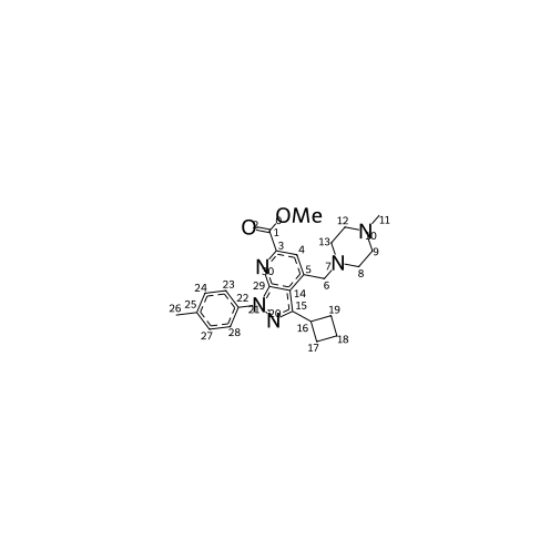 COC(=O)c1cc(CN2CCN(C)CC2)c2c(C3CCC3)nn(-c3ccc(C)cc3)c2n1